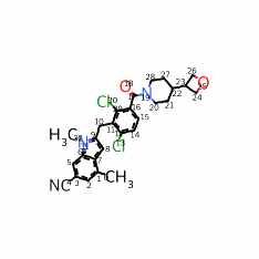 Cc1cc(C#N)cc2c1cc(Cc1c(Cl)ccc(C(=O)N3CCC(C4COC4)CC3)c1Cl)n2C